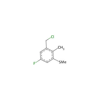 CSc1cc(F)cc(CCl)c1C